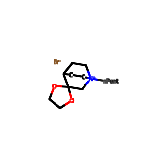 CCCCC[N+]12CCC(CC1)C1(C2)OCCO1.[Br-]